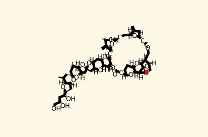 C=C1C[C@@H]2CCOC[C@H]3[C@@H]4O[C@H]5CC[C@H](CC(=O)O[C@@H]6[C@@H](C)[C@@H]7O[C@@H]8C[C@]9(C[C@@H]%10O[C@]%11(C[C@H](C)[C@@H]%12O[C@H]([C@@H](O)C[C@@H](O)CO)C[C@@H]%12O%11)C[C@H](C)[C@@H]%10O9)O[C@@H]8C[C@@H]7O[C@H]6C[C@H]6O[C@@H](CC[C@@H]1O2)C[C@@H](C)C6=C)O[C@@H]5[C@@H]1OC[C@@H]3O[C@@H]14